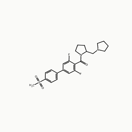 CS(=O)(=O)c1ccc(-c2cc(F)c(C(=O)N3CCCC3CN3CCCC3)c(F)c2)cc1